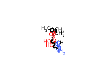 C#[N+][C@@]1(c2ccc3c(N)ncnn23)O[C@H](COC(=O)OC2(C(C)C)CC=C(C)CC2)[C@@H](O)[C@H]1O